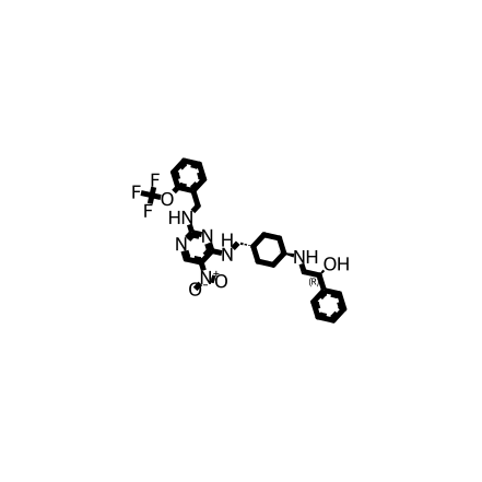 O=[N+]([O-])c1cnc(NCc2ccccc2OC(F)(F)F)nc1NC[C@H]1CC[C@H](NC[C@H](O)c2ccccc2)CC1